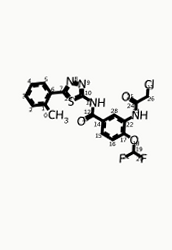 Cc1ccccc1-c1nnc(NC(=O)c2ccc(OC(F)F)c(NC(=O)CCl)c2)s1